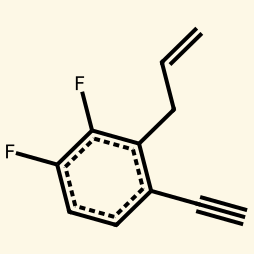 C#Cc1ccc(F)c(F)c1CC=C